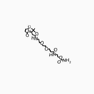 CC(C)(C)C(CC(=O)NCCOCCOCCC(=O)NCCOC(N)=O)N1C(=O)C=CC1=O